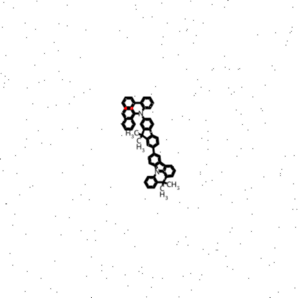 CC1(C)c2cc(-c3ccc4c(c3)c3cccc5c3n4-c3ccccc3C5(C)C)ccc2-c2ccc(N(c3ccccc3-c3ccccc3)c3cccc4ccccc34)cc21